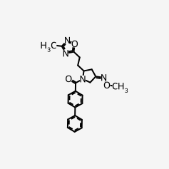 CO/N=C1/CC(CCc2nc(C)no2)N(C(=O)c2ccc(-c3ccccc3)cc2)C1